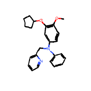 COc1ccc(N(Cc2ccccn2)c2ccccc2)cc1OC1CCCC1